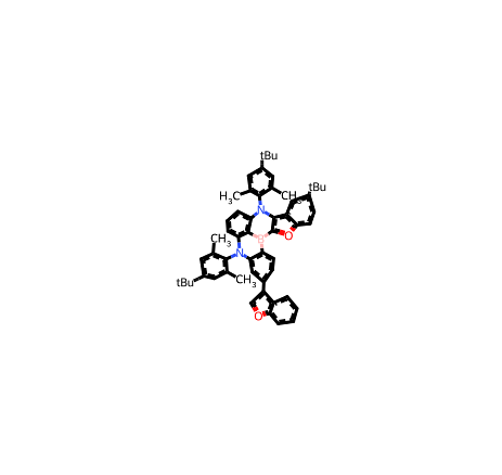 Cc1cc(C(C)(C)C)cc(C)c1N1c2cc(-c3coc4ccccc34)ccc2B2c3oc4ccc(C(C)(C)C)cc4c3N(c3c(C)cc(C(C)(C)C)cc3C)c3cccc1c32